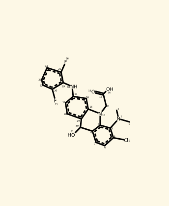 CN(C)c1c(Cl)ccc2c1N(CC(=O)O)c1cc(Nc3c(F)cccc3F)ccc1C2O